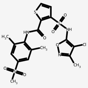 Cc1cc(S(C)(=O)=O)cc(C)c1NC(=O)c1sccc1S(=O)(=O)Nc1onc(C)c1Cl